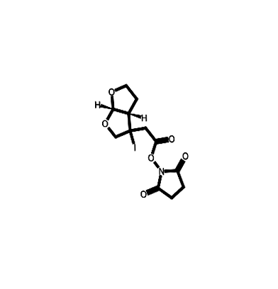 O=C(CC1(I)CO[C@@H]2OCC[C@@H]21)ON1C(=O)CCC1=O